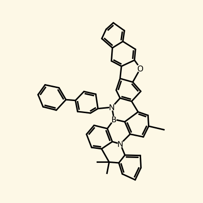 Cc1cc2c3c(c1)N1c4ccccc4C(C)(C)c4cccc(c41)B3N(c1ccc(-c3ccccc3)cc1)c1cc3c(cc1-2)oc1cc2ccccc2cc13